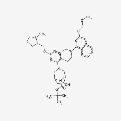 COCOc1cc(N2CCc3c(nc(OCC4CCCN4C)nc3N3CC4CC(O)C(C3)N4C(=O)OC(C)(C)C)C2)c2ccccc2c1